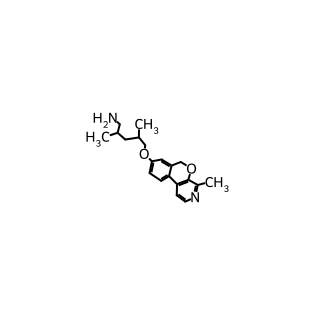 Cc1nccc2c1OCc1cc(OCC(C)CC(C)CN)ccc1-2